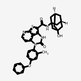 Cc1cc(Oc2ccccc2)ccc1N1C(=O)Nc2c(C(=O)NC34C[C@@H]5C[C@@H](CC(O)(C5)C3)C4)sc3nccc1c23